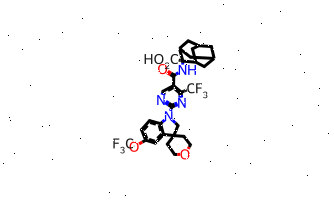 O=C(NC1(C(=O)O)C2CC3CC(C2)CC1C3)c1cnc(N2CC3(CCOCC3)c3cc(OC(F)(F)F)ccc32)nc1C(F)(F)F